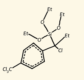 CCO[Si](OCC)(OCC)C(Cl)(CC)c1ccc(C(Cl)(Cl)Cl)cc1